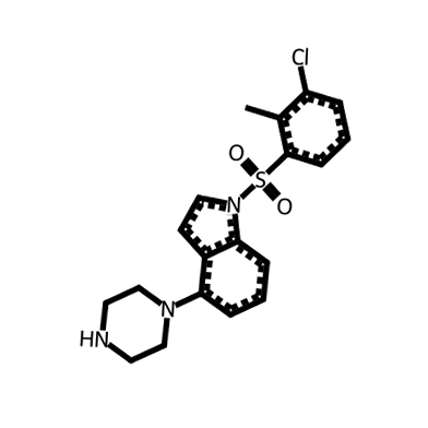 Cc1c(Cl)cccc1S(=O)(=O)n1ccc2c(N3CCNCC3)cccc21